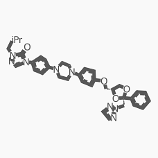 CC(C)Cn1ncn(-c2ccc(N3CCN(c4ccc(OC[C@@H]5CO[C@@](Cn6nccn6)(c6ccccc6)O5)cc4)CC3)cc2)c1=O